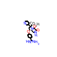 N=C(N)c1ccc(OCCC(CC(=O)O)(c2cccnc2)N2CCNC(=O)C2=O)cc1